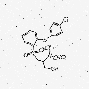 O=CN(O)C(CO)CS(=O)(=O)c1ccccc1Sc1ccc(Cl)cc1